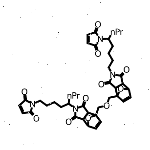 CCCC(CCCCN1C(=O)C2C3C=CC(COCC45C=CC(O4)C4C(=O)N(C(CCC)CCCCN6C(=O)C=CC6=O)C(=O)C45)(O3)C2C1=O)N1C(=O)C=CC1=O